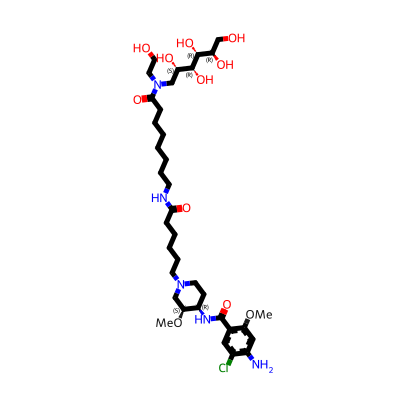 COc1cc(N)c(Cl)cc1C(=O)N[C@@H]1CCN(CCCCCC(=O)NCCCCCCCC(=O)N(CCO)C[C@H](O)[C@@H](O)[C@H](O)[C@H](O)CO)C[C@@H]1OC